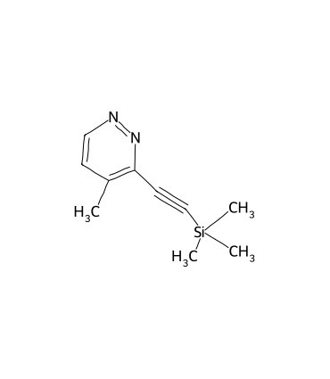 Cc1ccnnc1C#C[Si](C)(C)C